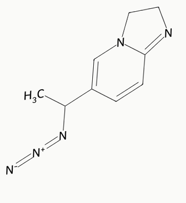 CC(N=[N+]=[N-])C1=CN2CCN=C2C=C1